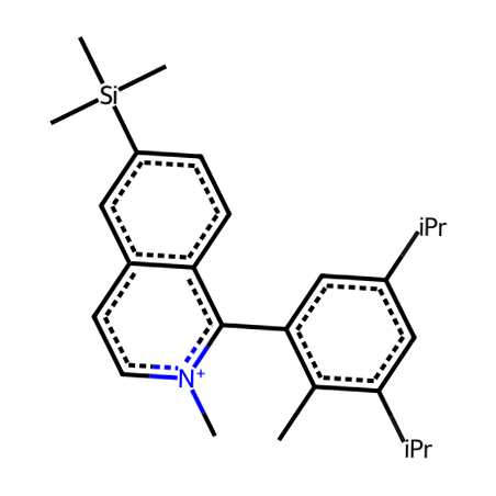 Cc1c(-c2c3ccc([Si](C)(C)C)cc3cc[n+]2C)cc(C(C)C)cc1C(C)C